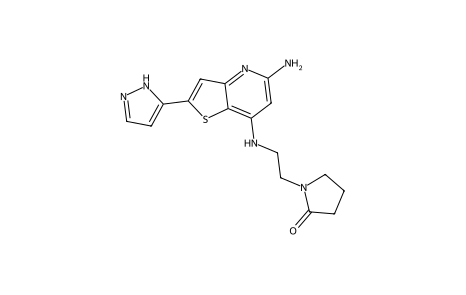 Nc1cc(NCCN2CCCC2=O)c2sc(-c3ccn[nH]3)cc2n1